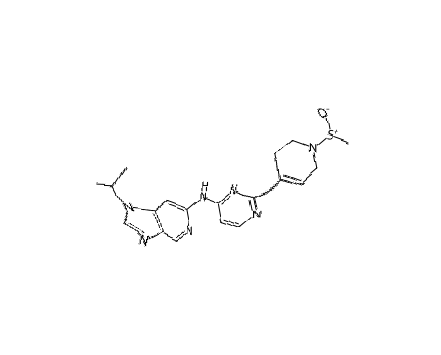 CC(C)n1cnc2cnc(Nc3ccnc(C4=CCN([S+](C)[O-])CC4)n3)cc21